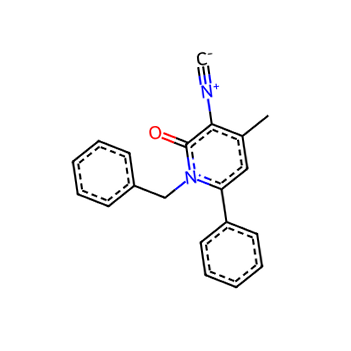 [C-]#[N+]c1c(C)cc(-c2ccccc2)n(Cc2ccccc2)c1=O